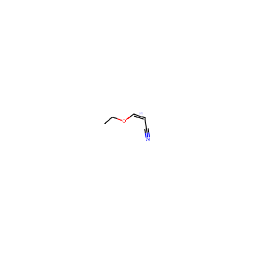 CCO/C=C\C#N